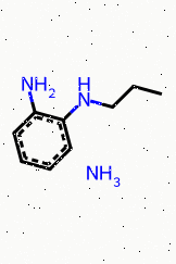 CCCNc1ccccc1N.N